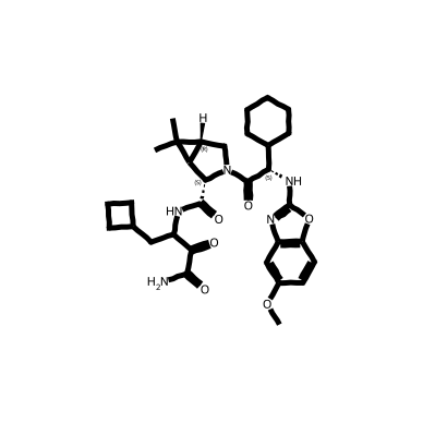 COc1ccc2oc(N[C@H](C(=O)N3C[C@@H]4C([C@H]3C(=O)NC(CC3CCC3)C(=O)C(N)=O)C4(C)C)C3CCCCC3)nc2c1